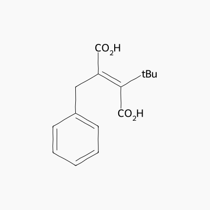 CC(C)(C)C(C(=O)O)=C(Cc1ccccc1)C(=O)O